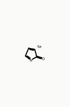 O=C1C=CC=N1.[Se]